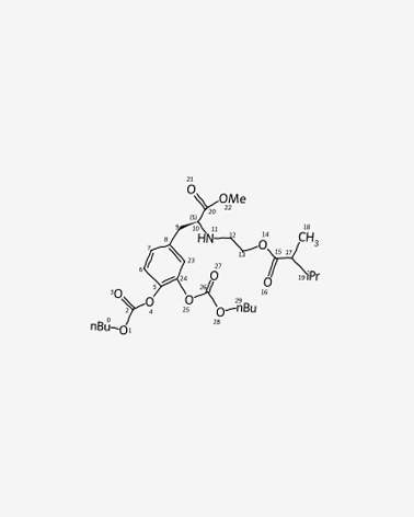 CCCCOC(=O)Oc1ccc(C[C@H](NCCOC(=O)C(C)C(C)C)C(=O)OC)cc1OC(=O)OCCCC